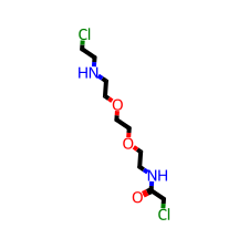 O=C(CCl)NCCOCCOCCNCCCl